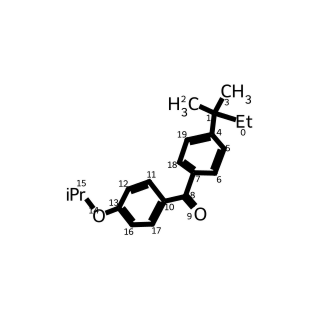 CCC(C)(C)c1ccc(C(=O)c2ccc(OC(C)C)cc2)cc1